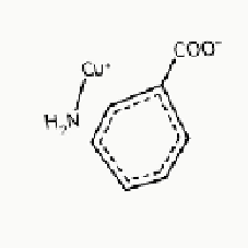 O=C([O-])c1ccccc1.[NH2][Cu+]